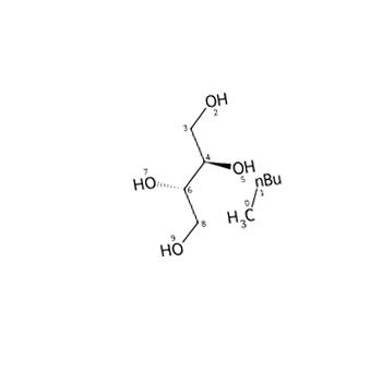 CCCCC.OC[C@@H](O)[C@@H](O)CO